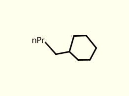 [CH2]CCCC1[CH]CCCC1